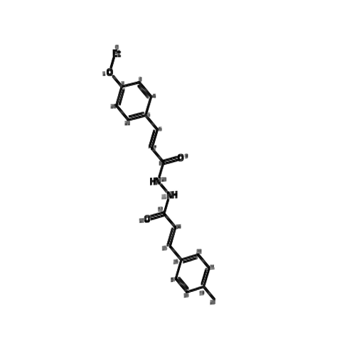 CCOc1ccc(C=CC(=O)NNC(=O)C=Cc2ccc(C)cc2)cc1